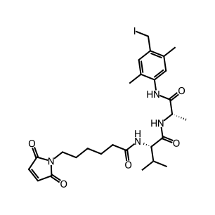 Cc1cc(NC(=O)[C@H](C)NC(=O)[C@@H](NC(=O)CCCCCN2C(=O)C=CC2=O)C(C)C)c(C)cc1CI